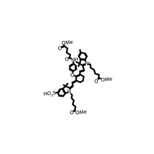 COC(=O)CCCCCN1/C(=C/C=C2\CCCC(/C=C/C3=[N+](CCCCCC(=O)OC)c4ccc(C)cc4C3(C)C)=C2Oc2ccc(NC(=O)CCCC(=O)OC)cc2)C(C)(C)c2cc(S(=O)(=O)O)ccc21